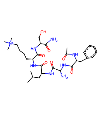 CC(=O)N[C@@H](Cc1ccccc1)C(=O)N[C@@H](N)C(=O)N[C@@H](CC(C)C)C(=O)N[C@@H](CCCC[N+](C)(C)C)C(=O)N[C@@H](CO)C(N)=O